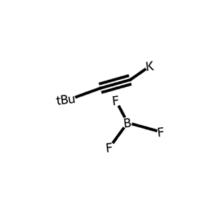 CC(C)(C)C#[C][K].FB(F)F